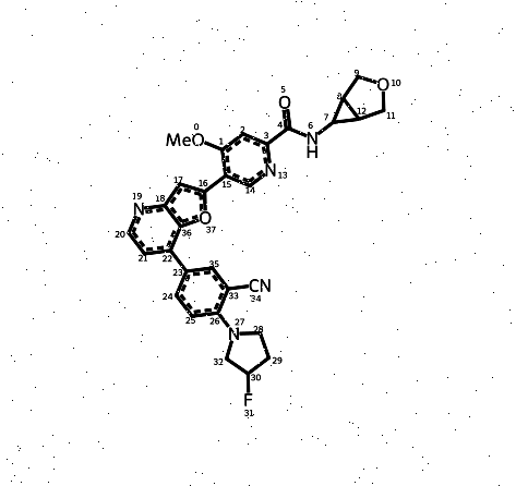 COc1cc(C(=O)NC2C3COCC32)ncc1-c1cc2nccc(-c3ccc(N4CCC(F)C4)c(C#N)c3)c2o1